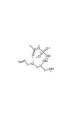 C=CCOCC(O)CO.CC(=O)OS(=O)(=O)O